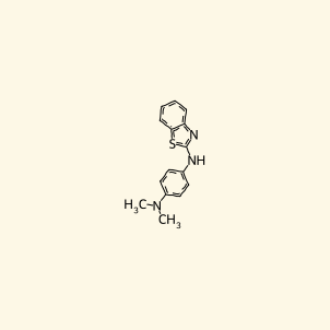 CN(C)c1ccc(Nc2nc3ccccc3s2)cc1